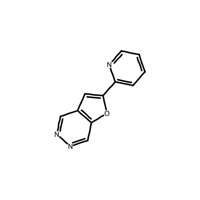 c1ccc(-c2cc3cnncc3o2)nc1